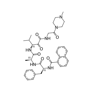 CC(C)[C@H](NC(=O)[C@H](C)NC(=O)[C@H](Cc1ccccc1)NC(=O)c1cccc2ccccc12)C(=O)C(=O)NCC(=O)N1CCN(C)CC1